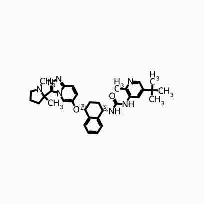 Cc1ncc(C(C)(C)C)cc1NC(=O)N[C@H]1CC[C@@H](Oc2ccc3nnc(C4(C)CCCN4C)n3c2)c2ccccc21